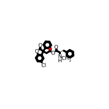 CN[C@@H](Cc1ccccc1)C(=O)OC(=O)CC1(c2ccccc2)C(=O)Oc2ccc(Cl)cc21